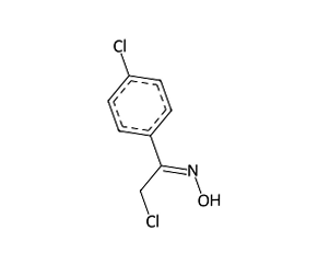 ON=C(CCl)c1ccc(Cl)cc1